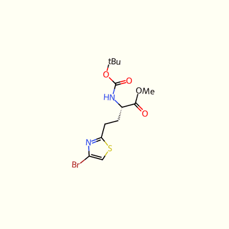 COC(=O)[C@H](CCc1nc(Br)cs1)NC(=O)OC(C)(C)C